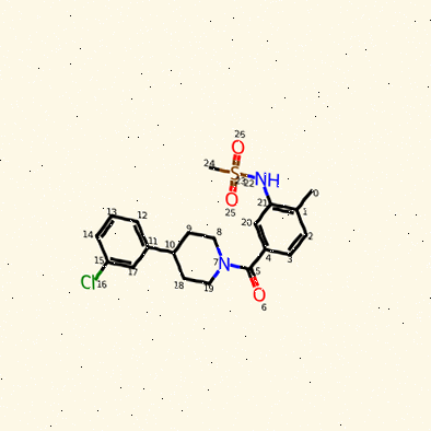 Cc1ccc(C(=O)N2CCC(c3cccc(Cl)c3)CC2)cc1NS(C)(=O)=O